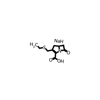 CCSCC1=C(C(=O)O)N2C(=O)CC2C1.[NaH]